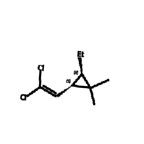 CC[C@@H]1[C@@H](C=C(Cl)Cl)C1(C)C